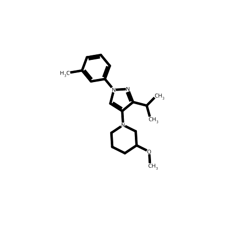 COC1CCCN(c2cn(-c3cccc(C)c3)nc2C(C)C)C1